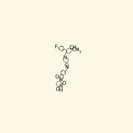 CC1(C)CCC(CN2CCC3(CC2)CN(Cc2ccc4c(c2)CN(C2CCC(=O)NC2=O)C4=O)C3)=C(c2ccc(F)cc2)C1